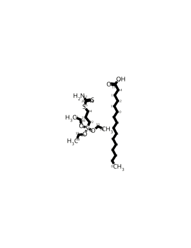 CCCCCCCCCCCCCCCC(=O)O.CCO[Si](CCCSC(N)=S)(OCC)OCC